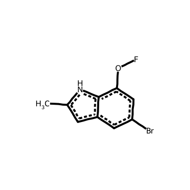 Cc1cc2cc(Br)cc(OF)c2[nH]1